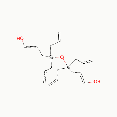 C=CC[Si](CC=C)(CC=CO)O[Si](CC=C)(CC=C)CC=CO